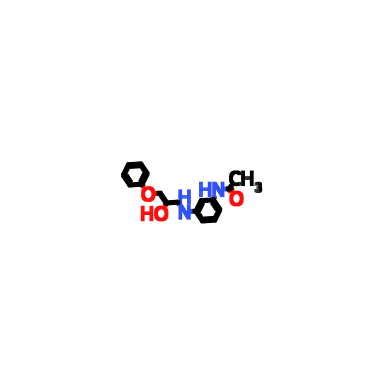 CC(=O)Nc1cccc(NCC(O)COc2ccccc2)c1